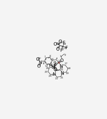 CCOC(Cc1ccc([N+](=O)[O-])cc1)([PH2]=O)[N+]12CCCN3CCN4CCCN(CC1)C4=C32.O=S(=O)([O-])C(F)(F)F